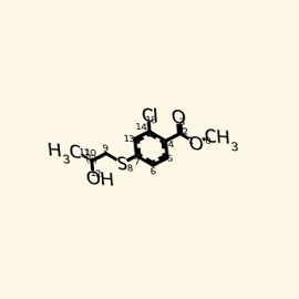 COC(=O)c1ccc(SC[C@H](C)O)cc1Cl